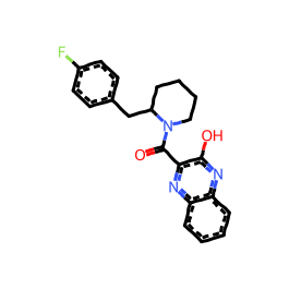 O=C(c1nc2ccccc2nc1O)N1CCCCC1Cc1ccc(F)cc1